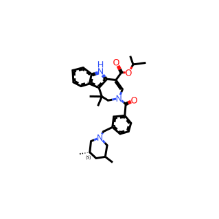 CC1C[C@H](C)CN(Cc2cccc(C(=O)N3C=C(C(=O)OC(C)C)c4[nH]c5ccccc5c4C(C)(C)C3)c2)C1